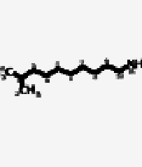 CC(C)CCCC[CH]CCCN